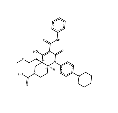 COCC[C@]12CN(C(=O)O)CC[C@@H]1N(c1ccc(N3CCCCC3)cc1)C(=O)C(C(=O)Nc1ccccc1)=C2O